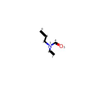 C=CCN([C]=O)C=C